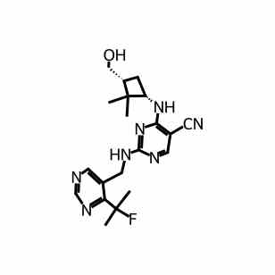 CC(C)(F)c1ncncc1CNc1ncc(C#N)c(N[C@H]2C[C@@H](CO)C2(C)C)n1